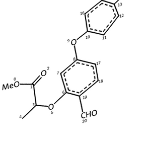 COC(=O)C(C)Oc1cc(Oc2ccc(C(F)(F)F)cc2)ccc1C=O